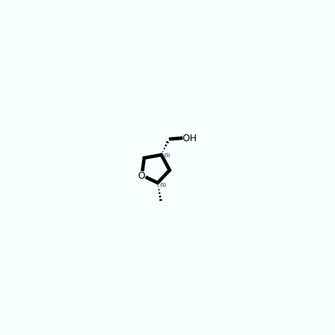 C[C@H]1C[C@@H](CO)CO1